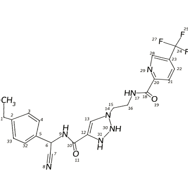 CCc1ccc(C(C#N)NC(=O)C2=CN(CCNC(=O)c3ccc(C(F)(F)F)cn3)NN2)cc1